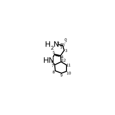 C[C@@H](N)CC1=CNC2CCCCC12